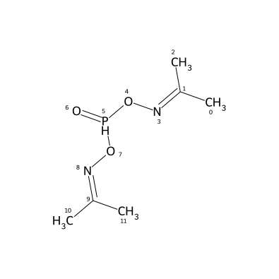 CC(C)=NO[PH](=O)ON=C(C)C